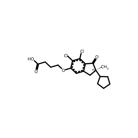 C[C@]1(C2CCCC2)Cc2cc(OCCCC(=O)O)c(Cl)c(Cl)c2C1=O